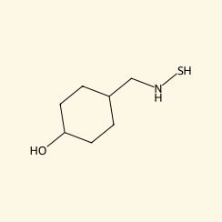 OC1CCC(CNS)CC1